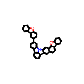 c1ccc2c(c1)oc1ccc(-c3ccc4c5cccc6c7cc8ccc9c%10ccccc%10oc9c8cc7n(c4c3)c56)cc12